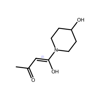 CC(=O)/C=C(\O)N1CCC(O)CC1